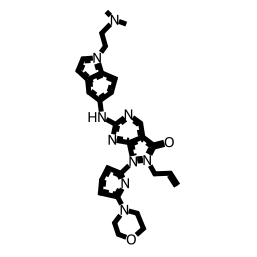 C=CCn1c(=O)c2cnc(Nc3ccc4c(ccn4CCN(C)C)c3)nc2n1-c1cccc(N2CCOCC2)n1